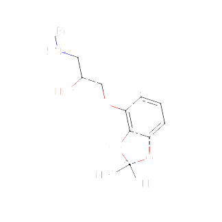 CC(C)(C)NCC(O)COc1cccc2c1OC(C)(C)O2